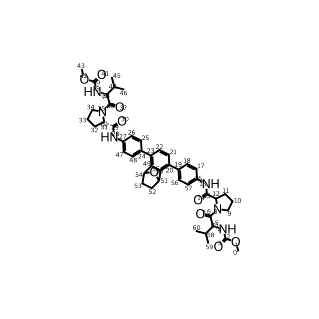 COC(=O)N[C@H](C(=O)N1CCCC1C(=O)Nc1ccc(-c2ccc(-c3ccc(NC(=O)[C@@H]4CCCN4C(=O)[C@@H](NC(=O)OC)C(C)C)cc3)c3c2C2CCC3O2)cc1)C(C)C